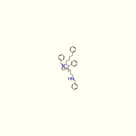 CN(Cc1ccccc1)C(CCCCc1ccccc1)C(CCCCNCc1ccccc1)c1ccccc1